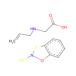 C=CCNCC(=O)O.SN1Oc2ccccc2S1